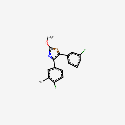 N#Cc1cc(-c2nc(OC(=O)O)sc2-c2cccc(Cl)c2)ccc1F